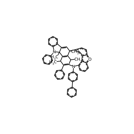 CC1C2=C(c3ccccc3)C(C)C3=C1C(C)(C=C1c4ccccc4N(c4ccccc4)C13C)c1ccc3oc4cccc(c4c3c1)N2c1ccc(-c2ccccc2)cc1